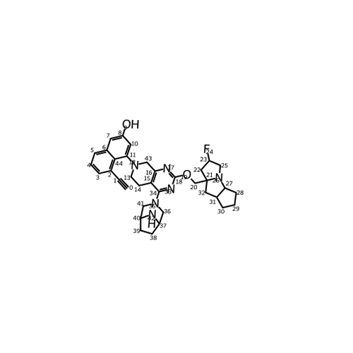 C#Cc1cccc2cc(O)cc(N3CCc4c(nc(OCC56CC(F)CN5C5CCCC5C6)nc4N4CC5CCC(C4)N5)C3)c12